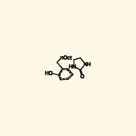 CCCCCCCCCc1ccccc1O.O=C1NCCN1